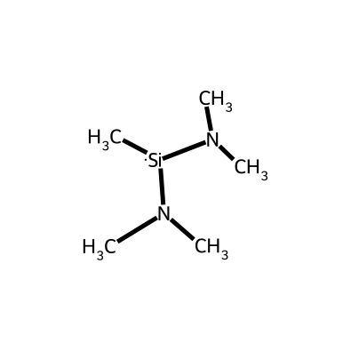 CN(C)[Si](C)N(C)C